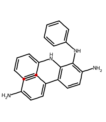 Nc1ccc(-c2ccc(N)c(Nc3ccccc3)c2Nc2ccccc2)cc1